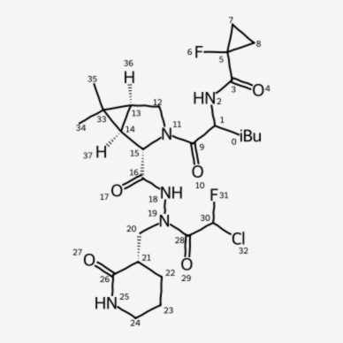 CCC(C)C(NC(=O)C1(F)CC1)C(=O)N1C[C@H]2[C@@H]([C@H]1C(=O)NN(C[C@@H]1CCCNC1=O)C(=O)C(F)Cl)C2(C)C